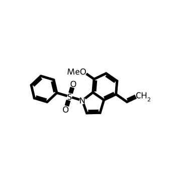 C=Cc1ccc(OC)c2c1ccn2S(=O)(=O)c1ccccc1